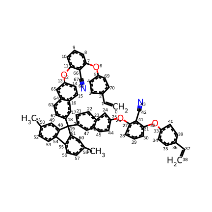 C=Cc1ccc(Oc2cccc(Oc3ccc4cc(C5(c6ccc7cc(Oc8cccc(Oc9ccc(C=C)cc9)c8C#N)ccc7c6)c6cc(C)ccc6-c6ccc(C)cc65)ccc4c3)c2C#N)cc1